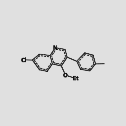 CCOc1c(-c2ccc(C)cc2)cnc2cc(Cl)ccc12